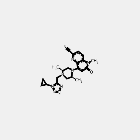 C[C@H]1CN(c2cc(=O)n(C)c3ccc(C#N)nc23)[C@@H](C)CN1Cc1nnnn1C1CC1